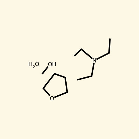 C1CCOC1.CCN(CC)CC.CO.O